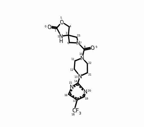 O=C1NC2(CO1)CN(C(=O)N1CCN(c3ncc(C(F)(F)F)cn3)CC1)C2